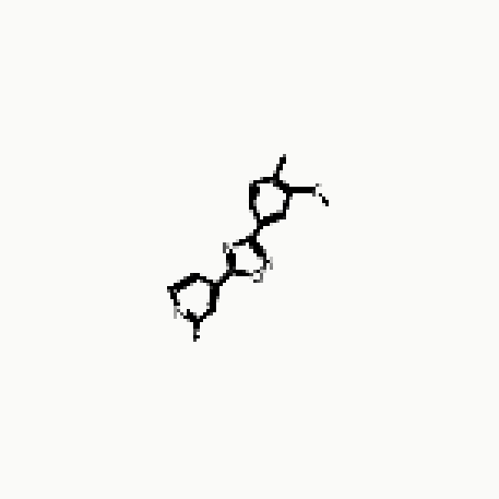 COc1cc(-c2noc(-c3ccnc(F)c3)n2)ccc1C